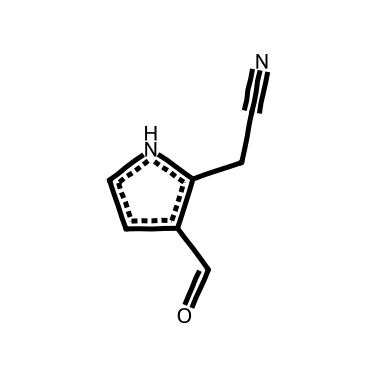 N#CCc1[nH]ccc1C=O